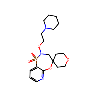 O=S1(=O)c2cccnc2OC2(CCOCC2)CN1OCCN1CCCCC1